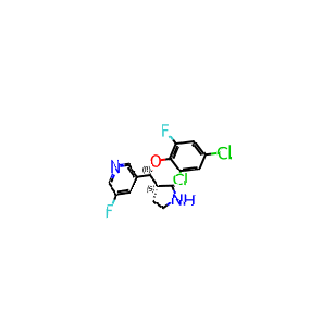 Fc1cncc([C@H](Oc2c(F)cc(Cl)cc2Cl)[C@H]2CCNC2)c1